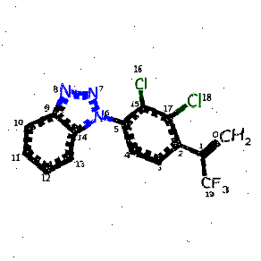 C=C(c1ccc(-n2nnc3ccccc32)c(Cl)c1Cl)C(F)(F)F